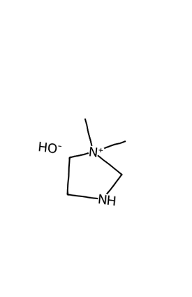 C[N+]1(C)CCNC1.[OH-]